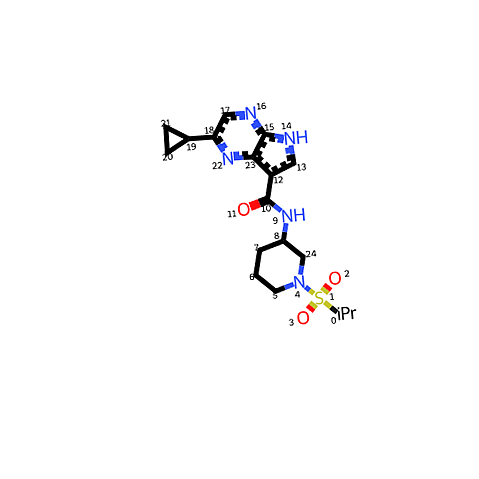 CC(C)S(=O)(=O)N1CCCC(NC(=O)c2c[nH]c3ncc(C4CC4)nc23)C1